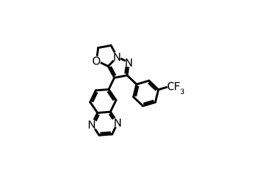 FC(F)(F)c1cccc(-c2nn3c(c2-c2ccc4nccnc4c2)OCC3)c1